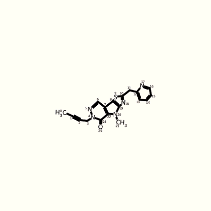 CC#CCn1ncc2c3sc(Cc4ccccn4)nc3n(C)c2c1=O